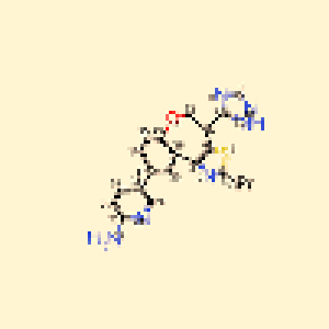 CC(C)c1nc2c(s1)C(c1ncn[nH]1)COc1ccc(-c3ccc(N)nc3)cc1-2